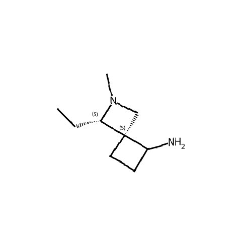 CC[C@@H]1N(C)C[C@]12CCC2N